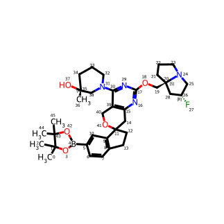 CC1(C)OB(c2ccc3c(c2)C2(CC3)Cc3nc(OC[C@@]45CCCN4C[C@H](F)C5)nc(N4CCC[C@@](C)(O)C4)c3CO2)OC1(C)C